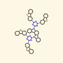 c1ccc2c(c1)sc1ccc(-c3nc(-c4ccc5sc6ccccc6c5c4)nc(-n4c5ccccc5c5c4ccc4c6ccccc6n(-c6nc(-c7ccc8sc9ccccc9c8c7)nc(-c7ccc8sc9ccccc9c8c7)n6)c45)n3)cc12